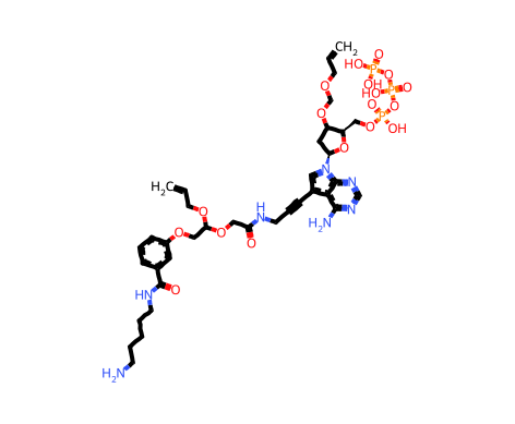 C=CCOCOC1C[C@H](n2cc(C#CCNC(=O)COC(COc3cccc(C(=O)NCCCCCN)c3)OCC=C)c3c(N)ncnc32)O[C@@H]1COP(=O)(O)OP(=O)(O)OP(=O)(O)O